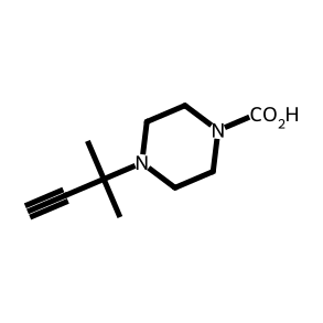 C#CC(C)(C)N1CCN(C(=O)O)CC1